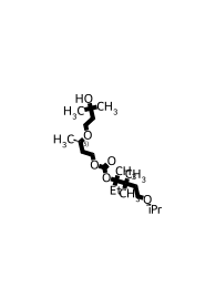 CCC(C)(OC(=O)OCC[C@H](C)OCCC(C)(C)O)C(C)(C)CCOC(C)C